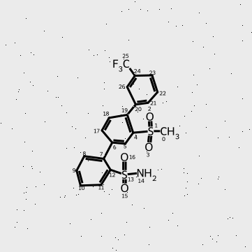 CS(=O)(=O)c1cc(-c2ccccc2S(N)(=O)=O)ccc1-c1cc[c]c(C(F)(F)F)c1